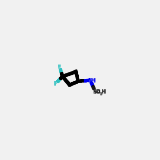 O=S(=O)(O)NC1CC(F)(F)C1